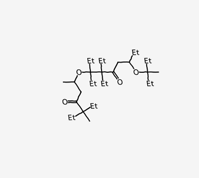 CCC(CC(=O)C(CC)(CC)C(CC)(CC)OC(C)CC(=O)C(C)(CC)CC)OC(C)(CC)CC